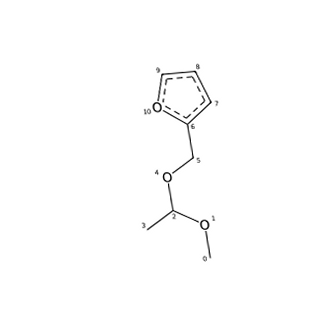 COC(C)OCc1ccco1